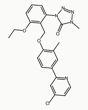 CCOc1cccc(-n2nnn(C)c2=O)c1COc1ccc(-c2cc(Cl)ccn2)cc1C